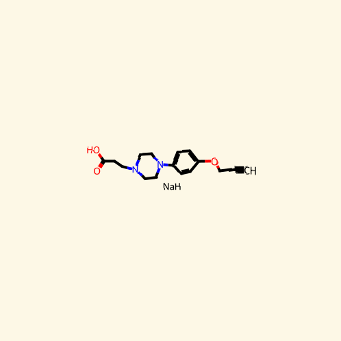 C#CCOc1ccc(N2CCN(CCC(=O)O)CC2)cc1.[NaH]